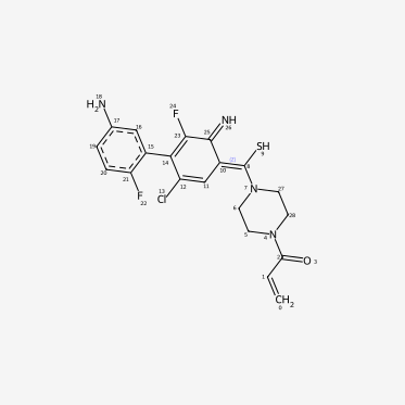 C=CC(=O)N1CCN(/C(S)=C2\C=C(Cl)C(c3cc(N)ccc3F)=C(F)C2=N)CC1